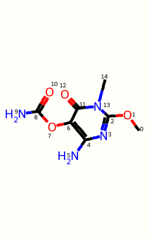 COc1nc(N)c(OC(N)=O)c(=O)n1C